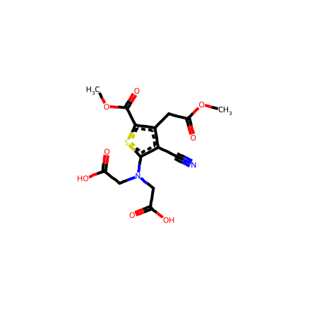 COC(=O)Cc1c(C(=O)OC)sc(N(CC(=O)O)CC(=O)O)c1C#N